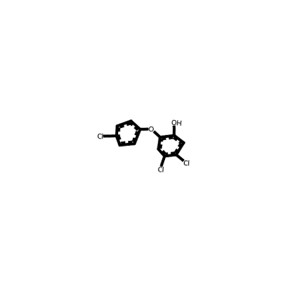 Oc1cc(Cl)c(Cl)cc1Oc1ccc(Cl)cc1